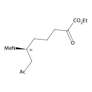 CCOC(=O)C(=O)CCC[C@@H](CC(C)=O)NC